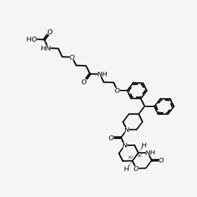 O=C(O)NCCOCCC(=O)NCCOc1cccc(C(c2ccccc2)C2CCN(C(=O)N3CC[C@@H]4OCC(=O)N[C@@H]4C3)CC2)c1